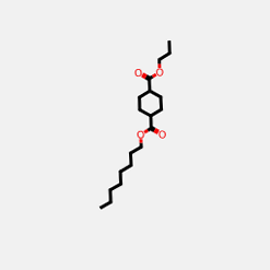 CCCCCCCCOC(=O)C1CCC(C(=O)OCCC)CC1